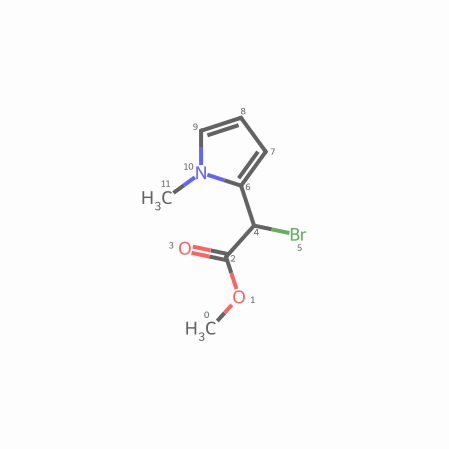 COC(=O)C(Br)c1cccn1C